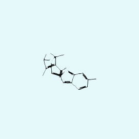 CC1=C(C(=O)O)C2(C)OC1N2/C=C1/C=c2ccc(C)cc2=N1